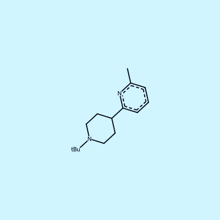 Cc1cccc(C2CCN(C(C)(C)C)CC2)n1